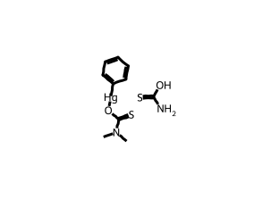 CN(C)C(=S)[O][Hg][c]1ccccc1.NC(O)=S